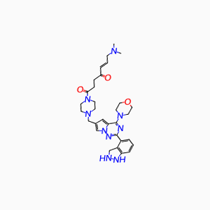 CN(C)C/C=C/C(=O)CCC(=O)N1CCN(Cc2cc3c(N4CCOCC4)nc(-c4cccc5c4CNN5)nn3c2)CC1